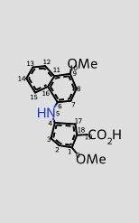 COc1ccc(Nc2ccc(OC)c3ccccc23)cc1C(=O)O